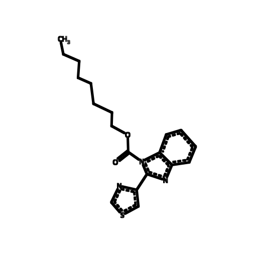 CCCCCCCCOC(=O)n1c(-c2cscn2)nc2ccccc21